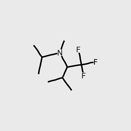 CC(C)C(N(C)C(C)C)C(F)(F)F